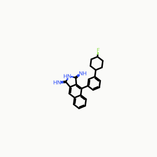 N=C1NC(=N)c2c1cc1ccccc1c2-c1cccc(C2CCC(F)CC2)c1